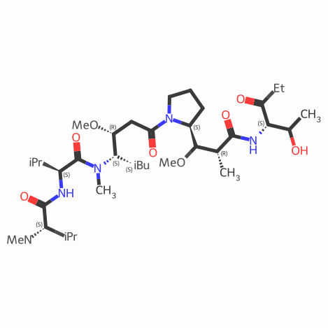 CCC(=O)[C@@H](NC(=O)[C@H](C)C(OC)[C@@H]1CCCN1C(=O)C[C@@H](OC)[C@H]([C@@H](C)CC)N(C)C(=O)[C@@H](NC(=O)[C@@H](NC)C(C)C)C(C)C)C(C)O